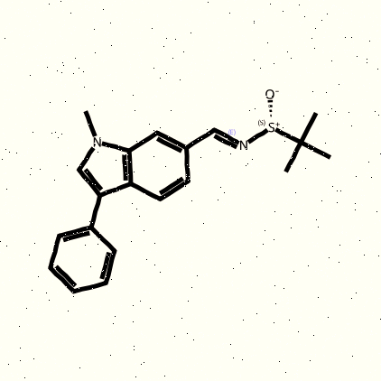 Cn1cc(-c2ccccc2)c2ccc(/C=N/[S@+]([O-])C(C)(C)C)cc21